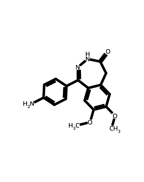 COc1cc2c(cc1OC)C(c1ccc(N)cc1)=NNC(=O)C2